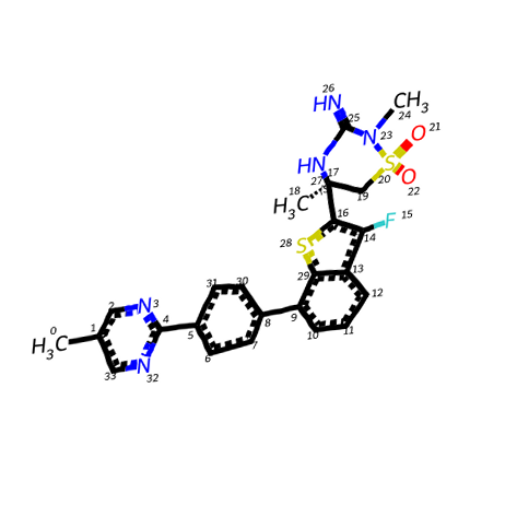 Cc1cnc(-c2ccc(-c3cccc4c(F)c([C@]5(C)CS(=O)(=O)N(C)C(=N)N5)sc34)cc2)nc1